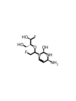 N[C@H]1C=CN(C(CF)O[C@H](CO)[C@@H](O)F)[C@@H](O)N1